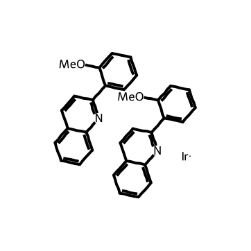 COc1ccccc1-c1ccc2ccccc2n1.COc1ccccc1-c1ccc2ccccc2n1.[Ir]